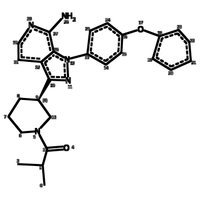 CC(C)C(=O)N1CCC[C@@H](c2nn(-c3ccc(Oc4ccccc4)cc3)c3c(N)nccc23)C1